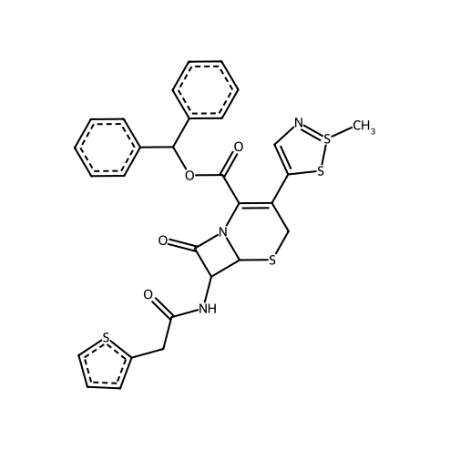 CS1=NC=C(C2=C(C(=O)OC(c3ccccc3)c3ccccc3)N3C(=O)C(NC(=O)Cc4cccs4)C3SC2)S1